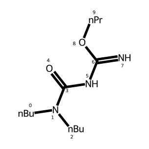 CCCCN(CCCC)C(=O)NC(=N)OCCC